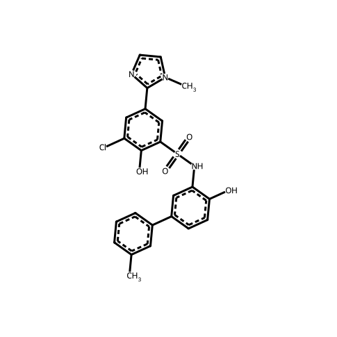 Cc1cccc(-c2ccc(O)c(NS(=O)(=O)c3cc(-c4nccn4C)cc(Cl)c3O)c2)c1